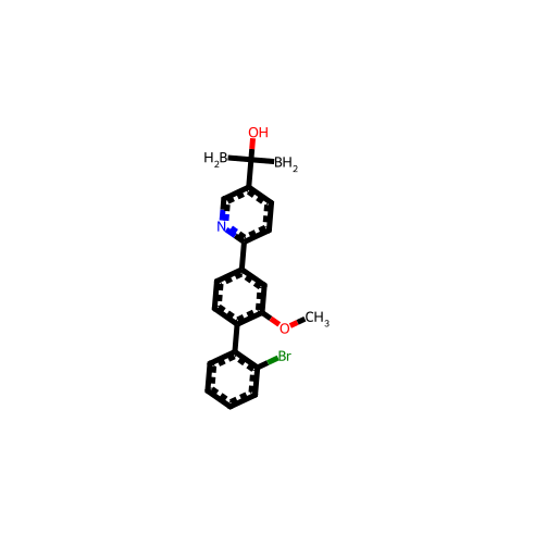 BC(B)(O)c1ccc(-c2ccc(-c3ccccc3Br)c(OC)c2)nc1